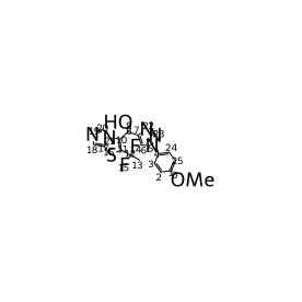 COc1ccc(-n2cc(C(O)c3c(C(C)(F)F)sc4cncn34)nn2)cc1